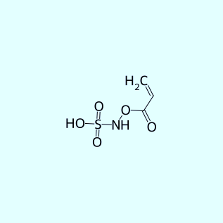 C=CC(=O)ONS(=O)(=O)O